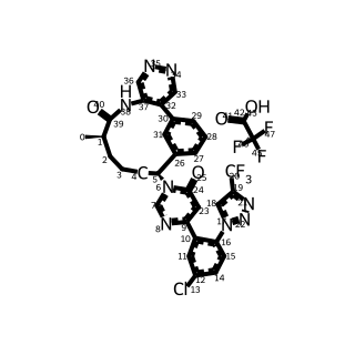 C[C@@H]1CCC[C@H](n2cnc(-c3cc(Cl)ccc3-n3cc(C(F)(F)F)nn3)cc2=O)c2cccc(c2)-c2cnncc2NC1=O.O=C(O)C(F)(F)F